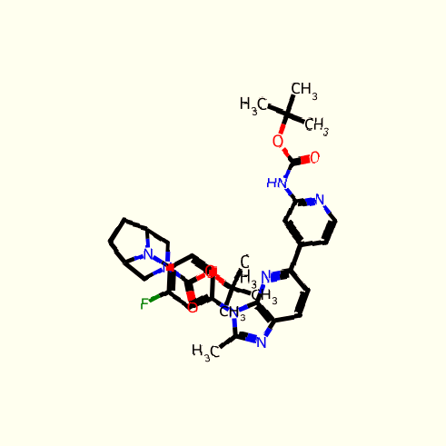 Cc1nc2ccc(-c3ccnc(NC(=O)OC(C)(C)C)c3)nc2n1-c1ccc(N2C3CCC2CN(C(=O)OC(C)(C)C)C3)c(F)c1